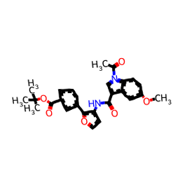 COc1ccc2c(c1)c(C(=O)Nc1ccoc1-c1cccc(C(=O)OC(C)(C)C)c1)cn2C(C)=O